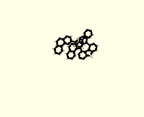 c1ccc(C2=NC(c3cccc4oc5cccc(-c6cccc7c6sc6c8ccccc8ccc76)c5c34)NC(c3ccc4ccc5ccccc5c4c3)=N2)cc1